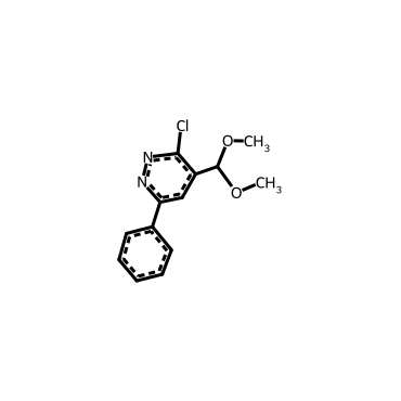 COC(OC)c1cc(-c2ccccc2)nnc1Cl